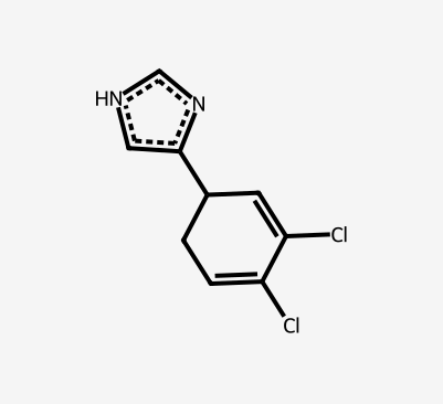 ClC1=CCC(c2c[nH]cn2)C=C1Cl